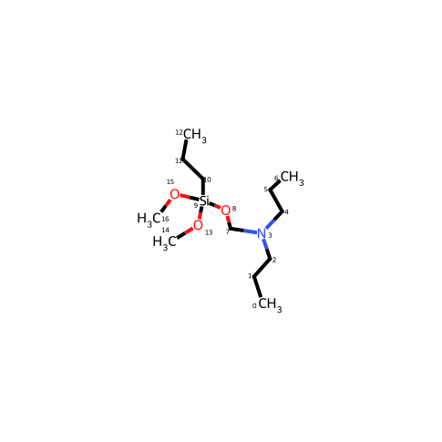 CCCN(CCC)CO[Si](CCC)(OC)OC